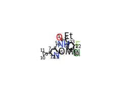 CCC(C(=O)NCc1cc(C2CC2)cnc1OC)c1ccc(Cl)c(F)c1